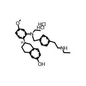 CCNCCc1ccc(CN(CC)c2cc(OC)ccc2[C@@H]2CCc3cc(O)ccc3C2)cc1.Cl.Cl